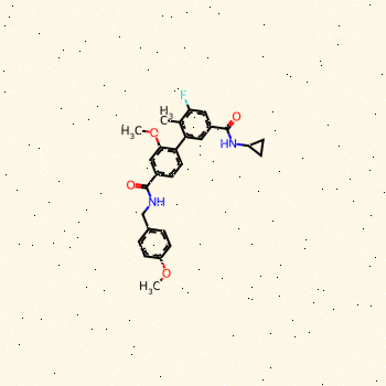 COc1ccc(CNC(=O)c2ccc(-c3cc(C(=O)NC4CC4)cc(F)c3C)c(OC)c2)cc1